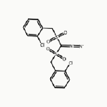 [N-]=[N+]=C(S(=O)(=O)Cc1ccccc1Cl)S(=O)(=O)Cc1ccccc1Cl